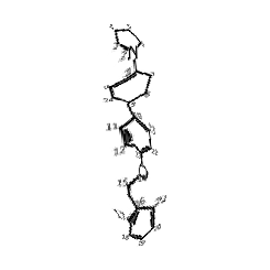 C1=C(N2CCCC2)CCC(c2ccc(OCc3ccccc3)cc2)C1